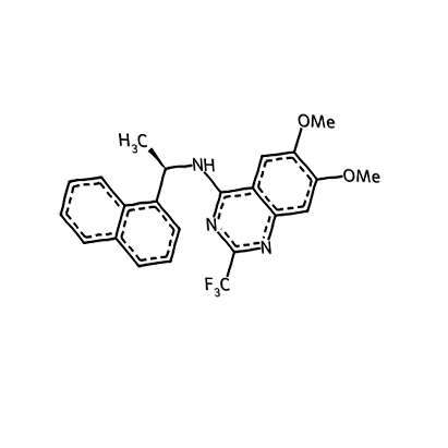 COc1cc2nc(C(F)(F)F)nc(N[C@H](C)c3cccc4ccccc34)c2cc1OC